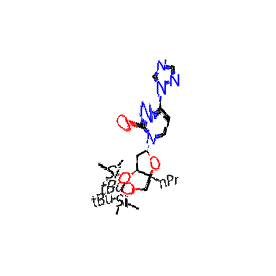 CCC[C@]1(CO[Si](C)(C)C(C)(C)C)O[C@@H](n2ccc(-n3cncn3)nc2=O)C[C@@H]1O[Si](C)(C)C(C)(C)C